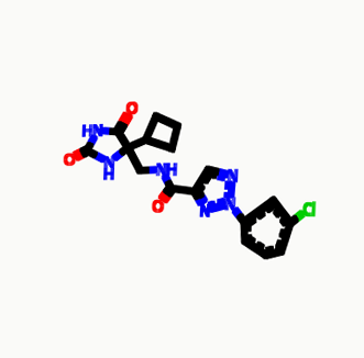 O=C1NC(=O)C(CNC(=O)c2cnn(-c3cccc(Cl)c3)n2)(C2CCC2)N1